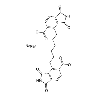 O=C([O-])c1ccc2c(c1CCCCCCc1c(C(=O)[O-])ccc3c1C(=O)NC3=O)C(=O)NC2=O.[Na+].[Na+]